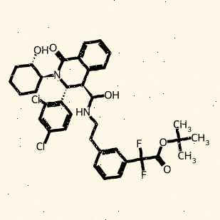 CC(C)(C)OC(=O)C(F)(F)c1cccc(CCNC(O)[C@@H]2c3ccccc3C(=O)N([C@H]3CCCC[C@@H]3O)[C@H]2c2ccc(Cl)cc2Cl)c1